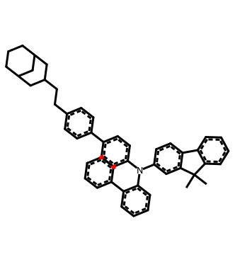 CC1(C)c2ccccc2-c2ccc(N(c3ccc(-c4ccc(CCC5CC6CCCC(C6)C5)cc4)cc3)c3ccccc3-c3ccccc3)cc21